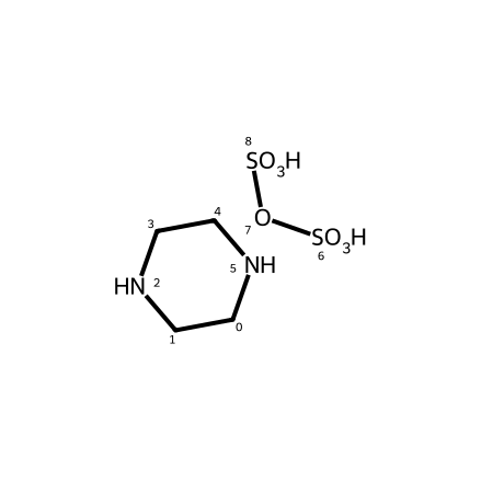 C1CNCCN1.O=S(=O)(O)OS(=O)(=O)O